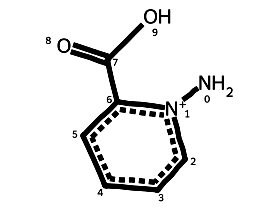 N[n+]1ccccc1C(=O)O